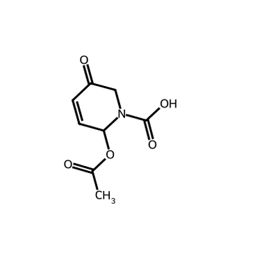 CC(=O)OC1C=CC(=O)CN1C(=O)O